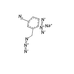 N#Cc1cccc(CN=[N+]=[N-])c1.[N-]=[N+]=[N-].[Na+]